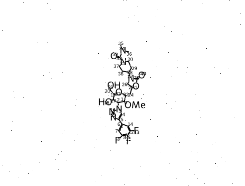 CO[C@@H]1[C@@H](n2cc(-c3cc(F)c(F)c(F)c3)nn2)[C@@H](O)[C@@H](CO)O[C@@H]1CC1CN(C2CCN(C(=O)N(C)C)CC2)C(=O)O1